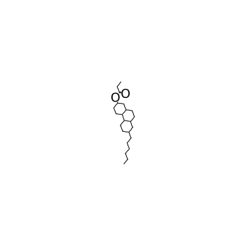 CCCCCCC1CCC2C(CCC3CC(OC(=O)CC)CCC32)C1